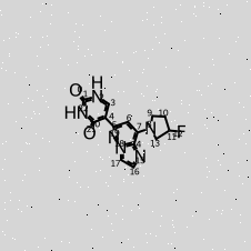 O=c1[nH]cc(-c2cc(N3CCC(F)C3)c3nccn3n2)c(=O)[nH]1